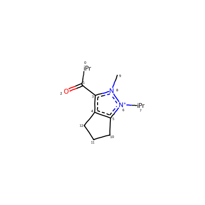 CC(C)C(=O)c1c2c([n+](C(C)C)n1C)CCC2